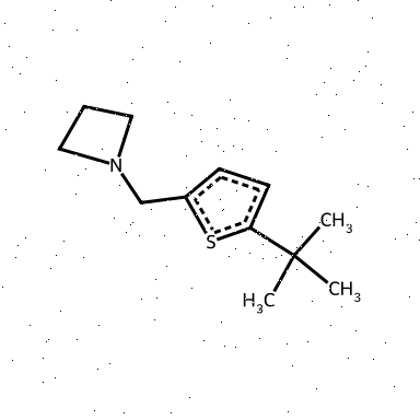 CC(C)(C)c1ccc(CN2CCC2)s1